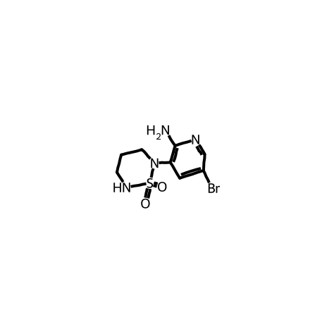 Nc1ncc(Br)cc1N1CCCNS1(=O)=O